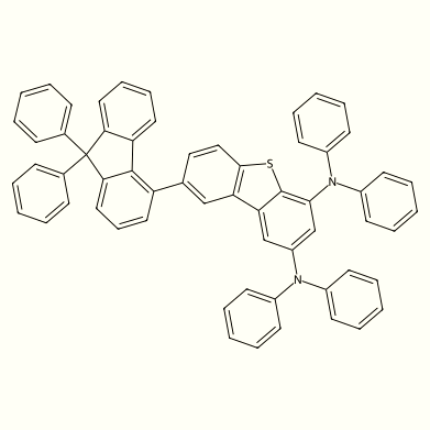 c1ccc(N(c2ccccc2)c2cc(N(c3ccccc3)c3ccccc3)c3sc4ccc(-c5cccc6c5-c5ccccc5C6(c5ccccc5)c5ccccc5)cc4c3c2)cc1